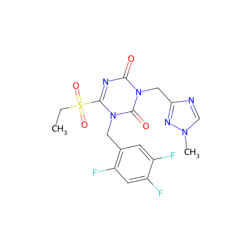 CCS(=O)(=O)c1nc(=O)n(Cc2ncn(C)n2)c(=O)n1Cc1cc(F)c(F)cc1F